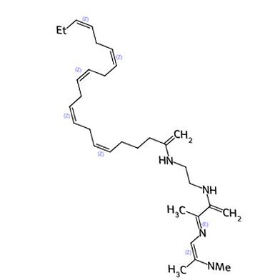 C=C(CCC/C=C\C/C=C\C/C=C\C/C=C\C/C=C\CC)NCCNC(=C)/C(C)=N/C=C(/C)NC